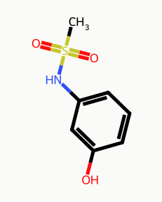 CS(=O)(=O)Nc1cccc(O)c1